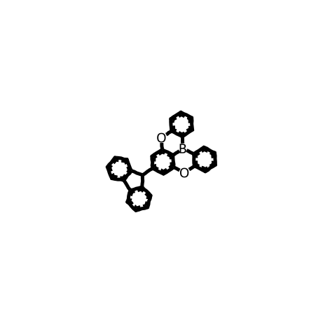 c1ccc2c(c1)Oc1cc(C3c4ccccc4-c4ccccc43)cc3c1B2c1ccccc1O3